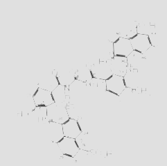 Cc1ccc(C(=O)NC(=O)NC(=O)c2ccc(C)c(Nc3c(O)ccc4c(S(=O)(=O)O)cccc34)c2)cc1Nc1c(O)ccc2c(S(=O)(=O)O)cccc12